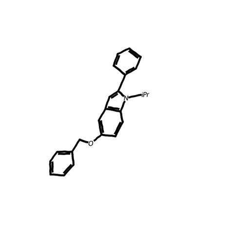 CC(C)n1c(-c2ccccc2)cc2cc(OCc3ccccc3)ccc21